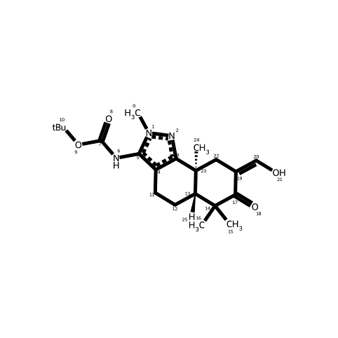 Cn1nc2c(c1NC(=O)OC(C)(C)C)CC[C@H]1C(C)(C)C(=O)/C(=C\O)C[C@]21C